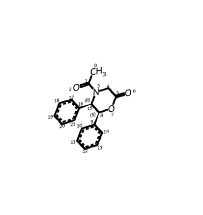 CC(=O)N1CC(=O)O[C@@H](c2ccccc2)[C@H]1c1ccccc1